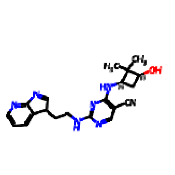 CC1(C)[C@@H](O)C[C@H]1Nc1nc(NCCC2C=Nc3ncccc32)ncc1C#N